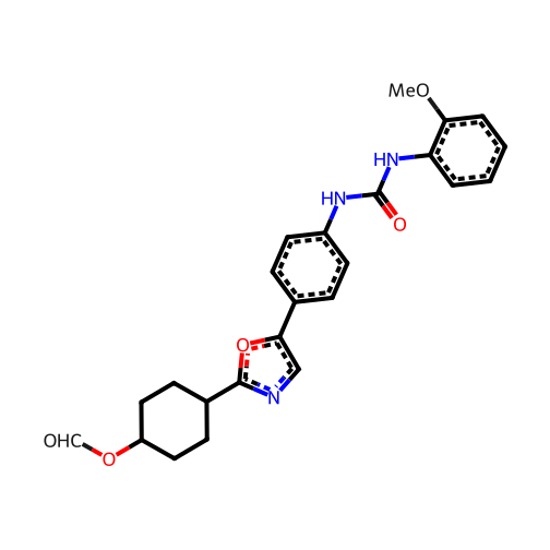 COc1ccccc1NC(=O)Nc1ccc(-c2cnc(C3CCC(OC=O)CC3)o2)cc1